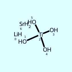 [LiH].[OH][Ti]([OH])([OH])[OH].[SrH2]